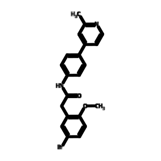 COc1ccc(Br)cc1CC(=O)Nc1ccc(-c2ccnc(C)c2)cc1